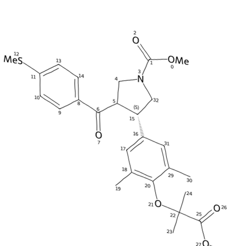 COC(=O)N1CC(C(=O)c2ccc(SC)cc2)[C@@H](c2cc(C)c(OC(C)(C)C(=O)OC(C)(C)C)c(C)c2)C1